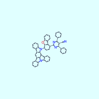 N#Cc1c(-c2ccccc2)nc(-c2ccc(-n3c4ccccc4c4cc5c6ccccc6n6c7ccccc7c(c43)c56)c3oc4ccccc4c23)nc1-c1ccccc1